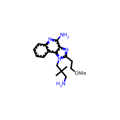 COCCc1nc2c(N)nc3ccccc3c2n1CC(C)(C)CN